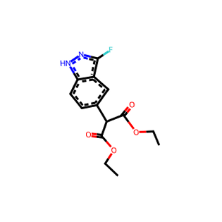 CCOC(=O)C(C(=O)OCC)c1ccc2[nH]nc(F)c2c1